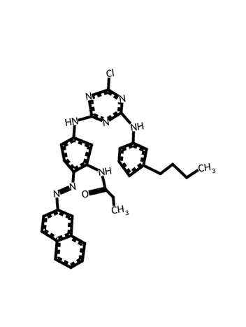 CCCCc1cccc(Nc2nc(Cl)nc(Nc3ccc(N=Nc4ccc5ccccc5c4)c(NC(=O)CC)c3)n2)c1